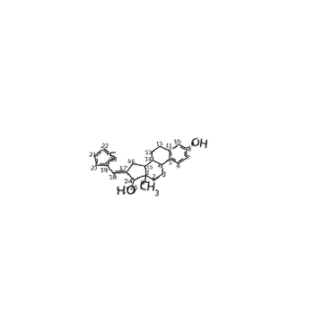 CC12CCC3c4ccc(O)cc4CCC3C1CC(=Cc1cccs1)C2O